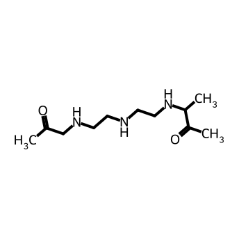 CC(=O)CNCCNCCNC(C)C(C)=O